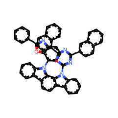 c1ccc(-c2nc3cccc(-n4c5ccccc5c5ccc6c7ccccc7n(-c7nc(-c8ccc9ccccc9c8)nc(-c8cccc9ccccc89)n7)c6c54)c3o2)cc1